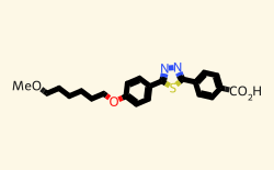 COCCCCCCOc1ccc(-c2nnc(-c3ccc(C(=O)O)cc3)s2)cc1